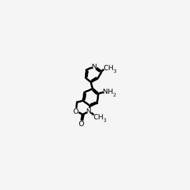 Cc1cc(-c2cc3c(cc2N)N(C)C(=O)OC3)ccn1